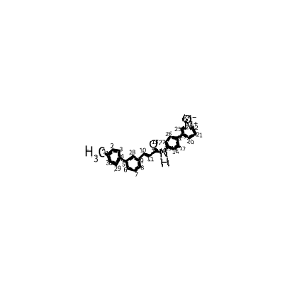 Cc1ccc(-c2cccc(C=CC(=O)Nc3ccc(-c4ccc[n+]([O-])c4)cc3)c2)cc1